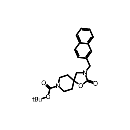 CC(C)(C)OC(=O)N1CCC2(CC1)CN(Cc1ccc3ccccc3c1)C(=O)O2